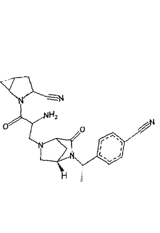 C[C@@H](c1ccc(C#N)cc1)N1C(=O)C2C[C@H]1CN2CC(N)C(=O)N1C(C#N)CC2CC21